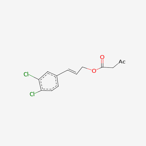 CC(=O)CC(=O)OC/C=C/c1ccc(Cl)c(Cl)c1